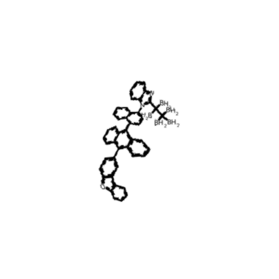 BC(B)(B)C(B)(B)c1nc2ccccc2n1-c1ccc(-c2c3ccccc3c(-c3ccc4oc5ccccc5c4c3)c3ccccc23)c2ccccc12